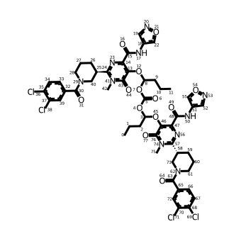 CCCC(OC(=O)OC(CCC)Oc1c(C(=O)Nc2cnoc2)nc([C@@H]2CCCN(C(=O)c3ccc(Cl)c(Cl)c3)C2)n(C)c1=O)Oc1c(C(=O)Nc2cnoc2)nc([C@@H]2CCCN(C(=O)c3ccc(Cl)c(Cl)c3)C2)n(C)c1=O